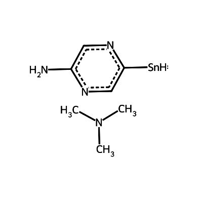 CN(C)C.Nc1cn[c]([SnH])cn1